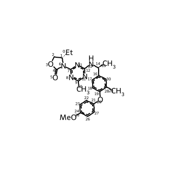 CC[C@H]1COC(=O)N1c1nc(C)nc(N[C@@H](C)c2ccc(Oc3ccc(OC)cc3)c(C)c2)n1